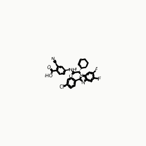 N#Cc1cc(NC(=O)[C@H](C2CCCCC2)n2c(-c3ccc(Cl)cc3)nc3cc(F)c(F)cc32)ccc1C(=O)O